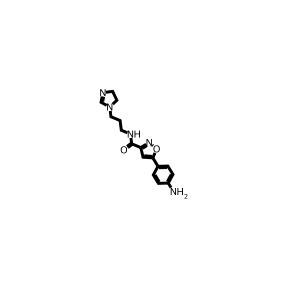 Nc1ccc(-c2cc(C(=O)NCCCN3C=NCC3)no2)cc1